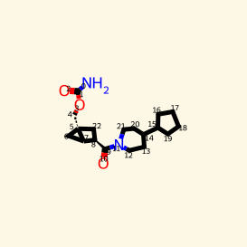 NC(=O)OC[C@@]12CC1[C@H](C(=O)N1CCC(C3CCCC3)CC1)C2